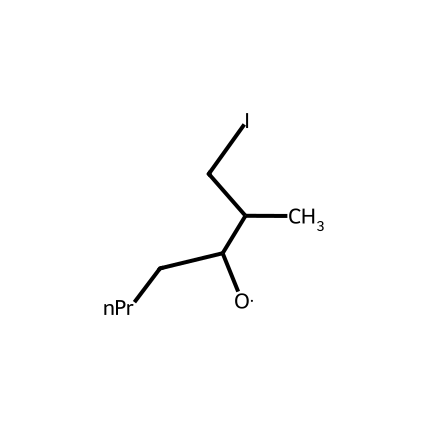 CCCCC([O])C(C)CI